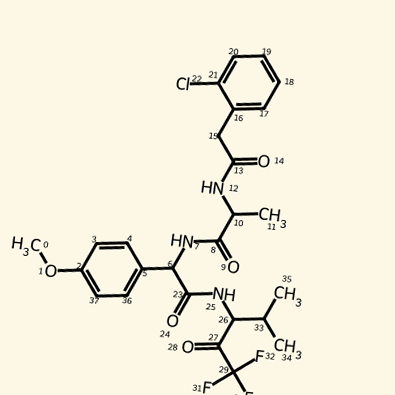 COc1ccc(C(NC(=O)C(C)NC(=O)Cc2ccccc2Cl)C(=O)NC(C(=O)C(F)(F)F)C(C)C)cc1